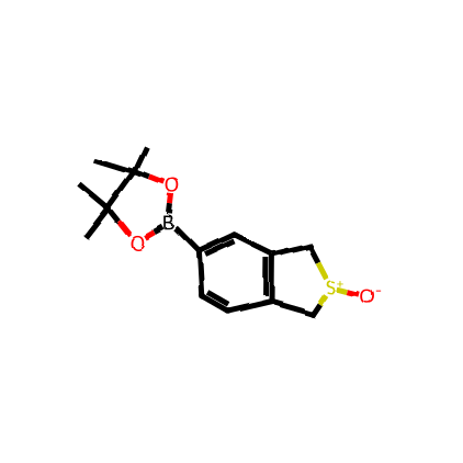 CC1(C)OB(c2ccc3c(c2)C[S+]([O-])C3)OC1(C)C